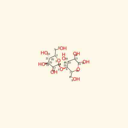 OCC1O[C@@H](O[C@@H]2C(CO)OC(O)C(O)[C@H]2O)C(O)[C@@H](O)[C@@H]1O